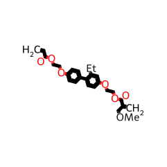 C=CC(=O)OCCOc1ccc(-c2ccc(OCCOC(=O)C(=C)COC)cc2CC)cc1